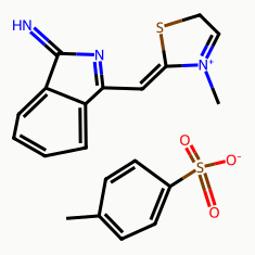 C[N+]1=CCSC1=CC1=NC(=N)c2ccccc21.Cc1ccc(S(=O)(=O)[O-])cc1